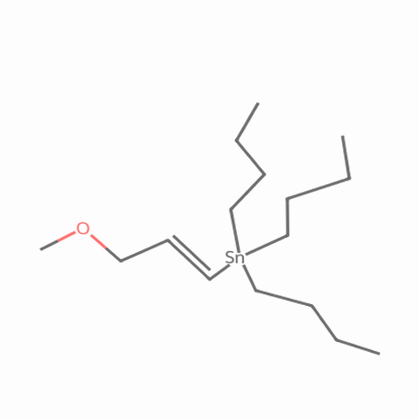 CCC[CH2][Sn](/[CH]=C/COC)([CH2]CCC)[CH2]CCC